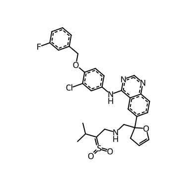 CC(C)C(CNCC1(c2ccc3ncnc(Nc4ccc(OCc5cccc(F)c5)c(Cl)c4)c3c2)CC=CO1)=S(=O)=O